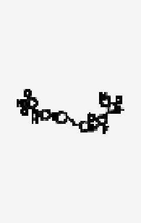 COc1cc(-c2cn(C)c(=O)c3cnccc23)cc(F)c1CN1CCC(CCC2CCN(c3ccc(NC4CCC(=O)NC4=O)cc3)CC2)CC1